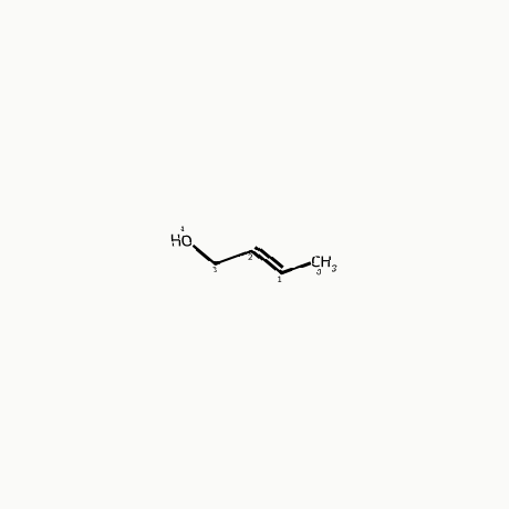 CC=C[CH]O